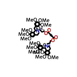 COc1cc(CC2c3c(cc(OC)c(OC)c3OC)CC[N+]2(C)CCCOC(=O)C#CC(=O)OCCC[N+]2(C)CCc3cc(OC)c(OC)c(OC)c3C2c2cc(OC)c(OC)c(OC)c2)cc(OC)c1OC